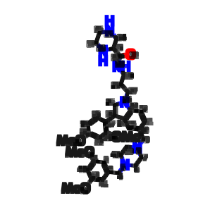 COc1cc(CN2CCN(Cc3ccc4c(c3)c(-c3ccc(OC)cc3OC)cn4CCCNC(=O)C3CNCCN3)CC2)cc(OC)c1